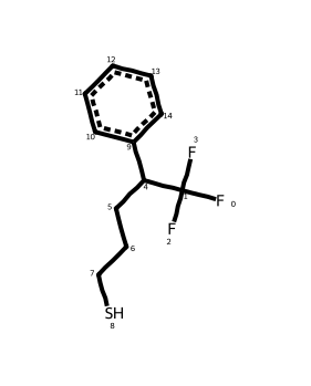 FC(F)(F)C(CCCS)c1ccccc1